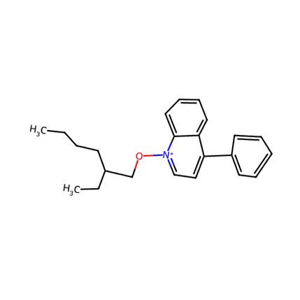 CCCCC(CC)CO[n+]1ccc(-c2ccccc2)c2ccccc21